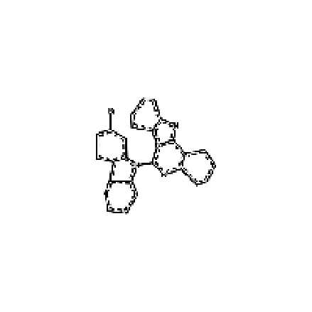 Brc1ccc2c3ccccc3n(-c3nc4ccccc4c4nc5ccccc5n34)c2c1